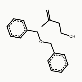 C=C(C)CCO.c1ccc(COCc2ccccc2)cc1